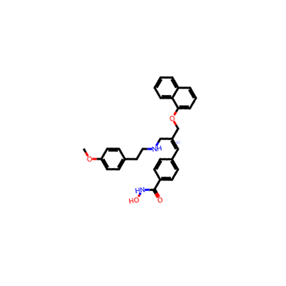 COc1ccc(CCNC/C(=C\c2ccc(C(=O)NO)cc2)COc2cccc3ccccc23)cc1